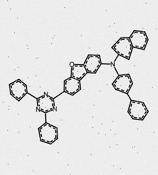 c1ccc(-c2ccc(N(c3ccc4ccccc4c3)c3ccc4oc5cc(-c6nc(-c7ccccc7)nc(-c7ccccc7)n6)ccc5c4c3)cc2)cc1